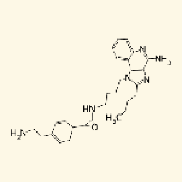 CCCCc1nc2c(N)nc3ccccc3c2n1CCCCNC1OC1C1C=CC(CCN)=CC1